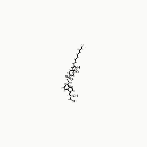 O=C1NC(CCCCCCCCC(F)(F)F)=NC12CCN(S(=O)(=O)CCc1cccc3c1ccn3CC(O)CO)CC2